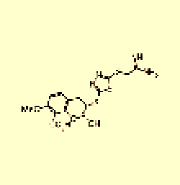 COc1ccc2c(c1C(=O)O)OB(O)[C@@H](Sc1nnc(SCC(=N)N)s1)C2